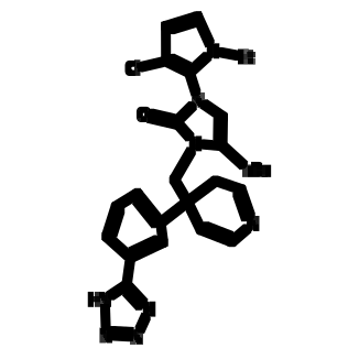 CCCCc1cn(-c2c(Cl)ccn2CC)c(=O)n1CC1(c2cccc(-c3nnn[nH]3)c2)C=CN=CC1